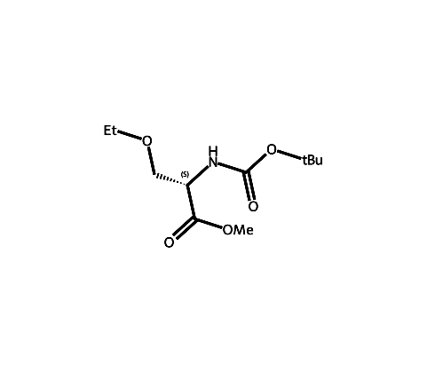 CCOC[C@H](NC(=O)OC(C)(C)C)C(=O)OC